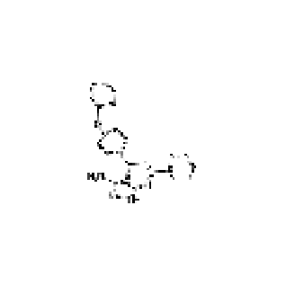 Nc1n[nH]c2nc(-c3ccncc3)cc(-c3ccc(Oc4ccccc4)cc3)c12